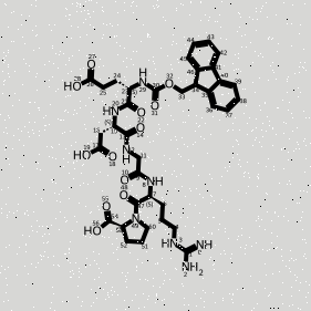 N=C(N)NCCC[C@H](NC(=O)CNC(=O)[C@H](CC(=O)O)NC(=O)[C@H](CCC(=O)O)NC(=O)OCC1c2ccccc2-c2ccccc21)C(=O)N1CCC[C@H]1C(=O)O